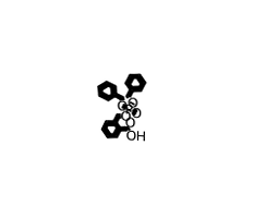 O=C(O)c1ccccc1COP(=O)(OCc1ccccc1)OCc1ccccc1